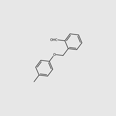 Cc1ccc(OCc2ccccc2C=O)cc1